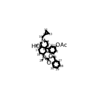 CC(=O)Oc1cccc(C23CCN(CC4CC4)CC2(O)CCC(N(C)C(=O)OCc2ccccc2)C3)c1